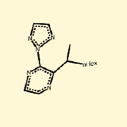 CCCCCCC(C)c1nccnc1-n1nccn1